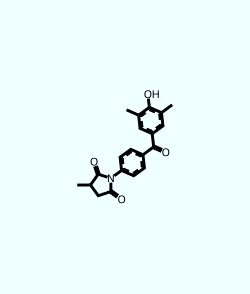 Cc1cc(C(=O)c2ccc(N3C(=O)CC(C)C3=O)cc2)cc(C)c1O